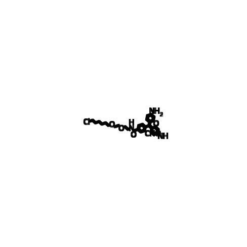 N=c1ccc2c(-c3ccc(C(=O)NCCOCCOCCCCCCCl)cc3C=O)c3ccc(N)cc3oc-2c1